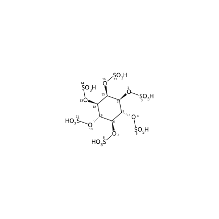 O=S(=O)(O)O[C@H]1[C@H](OS(=O)(=O)O)[C@@H](OS(=O)(=O)O)[C@H](OS(=O)(=O)O)[C@@H](OS(=O)(=O)O)[C@H]1OS(=O)(=O)O